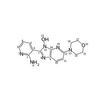 Nc1ncccc1-c1nc2ccc(N3CCOCC3)nc2n1O